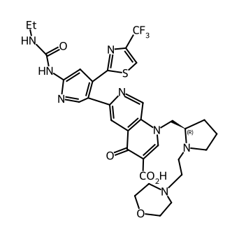 CCNC(=O)Nc1cc(-c2nc(C(F)(F)F)cs2)c(-c2cc3c(=O)c(C(=O)O)cn(C[C@H]4CCCN4CCN4CCOCC4)c3cn2)cn1